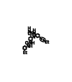 CCc1cccc(NC(=O)Nc2ccc(C3(c4nc5cc(N6CCN(CC)CC6)ccc5[nH]4)C=CNN3)cc2)c1